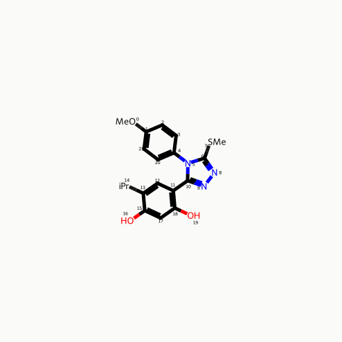 COc1ccc(-n2c(SC)nnc2-c2cc(C(C)C)c(O)cc2O)cc1